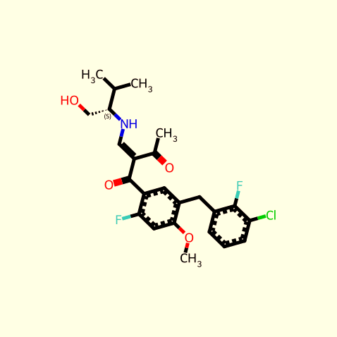 COc1cc(F)c(C(=O)C(=CN[C@H](CO)C(C)C)C(C)=O)cc1Cc1cccc(Cl)c1F